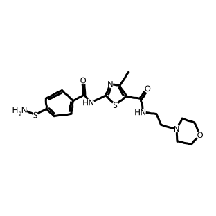 Cc1nc(NC(=O)c2ccc(SN)cc2)sc1C(=O)NCCN1CCOCC1